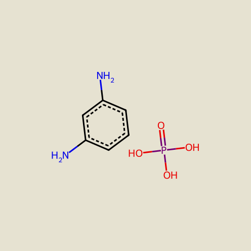 Nc1cccc(N)c1.O=P(O)(O)O